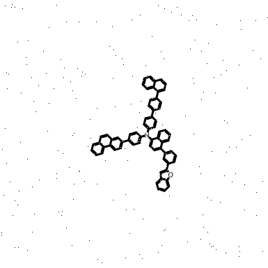 c1cc(-c2cc3ccccc3o2)cc(-c2ccc(N(c3ccc(-c4ccc(-c5cccc6ccccc56)cc4)cc3)c3ccc(-c4ccc5c(ccc6ccccc65)c4)cc3)c3ccccc23)c1